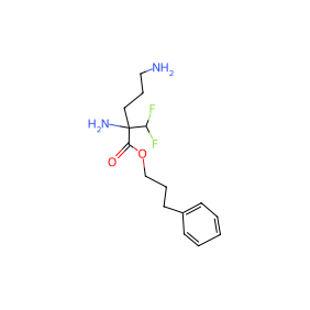 NCCCC(N)(C(=O)OCCCc1ccccc1)C(F)F